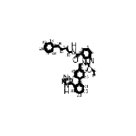 CCOc1nc2cccc(C(=O)NCCCCc3ccccc3)c2n1Cc1ccc(-c2ccccc2-c2nnn[nH]2)cc1